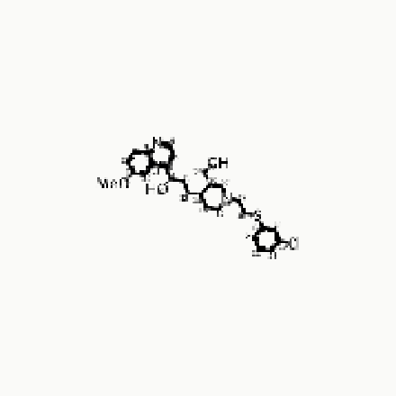 COc1ccc2nccc([C@@H](O)CC[C@@H]3CCN(CCSc4cccc(Cl)c4)C[C@@H]3CO)c2c1